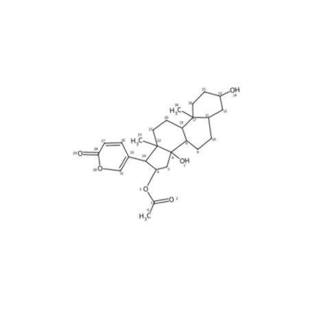 CC(=O)OC1CC2(O)C3CCC4CC(O)CCC4(C)C3CCC2(C)C1c1ccc(=O)oc1